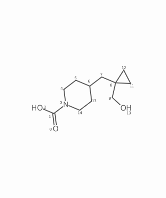 O=C(O)N1CCC(CC2(CO)CC2)CC1